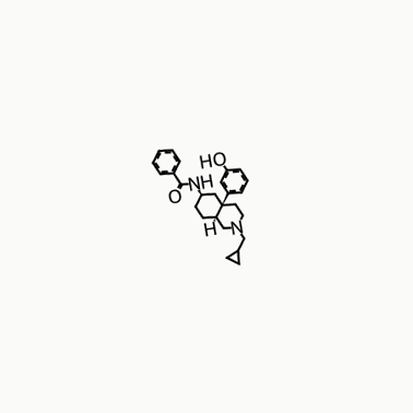 O=C(N[C@@H]1CC[C@@H]2CN(CC3CC3)CC[C@@]2(c2cccc(O)c2)C1)c1ccccc1